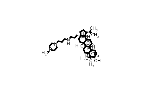 C=C(C)[C@@H]1CC[C@]2(CCCNCCCN3CCN(C)CC3)CC[C@]3(C)[C@H](CC[C@@H]4[C@@]5(C)CC[C@H](O)C(C)(C)[C@@H]5CC[C@]43C)[C@@H]12